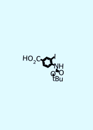 CC(C)(C)OC(=O)Nc1ccc(C(=O)O)cc1I